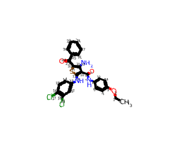 CCOc1ccc(NC(=O)c2c(Nc3ccc(Cl)c(Cl)c3)sc(C(=O)c3ccccc3)c2N)cc1